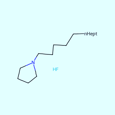 CCCCCCCCCCCCN1CCCC1.F